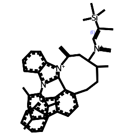 C=C1CC([N+](=C)/C=C(\C)[Si](C)(C)C)C(C)CCc2ccc3c(oc4ccccc43)c2-c2n(-c3c(C)cc(C)cc3C)c3ccccc3[n+]21